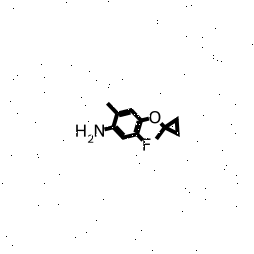 Cc1cc(OC2(C)CC2)c(F)cc1N